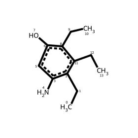 CCc1c(N)cc(O)c(CC)c1CC